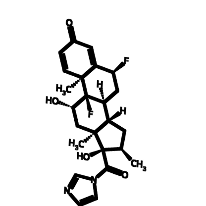 C[C@@H]1C[C@H]2[C@@H]3C[C@H](F)C4=CC(=O)C=C[C@]4(C)[C@@]3(F)[C@@H](O)C[C@]2(C)[C@@]1(O)C(=O)n1ccnc1